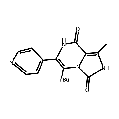 CCCCc1c(-c2ccncc2)[nH]c(=O)c2c(C)[nH]c(=O)n12